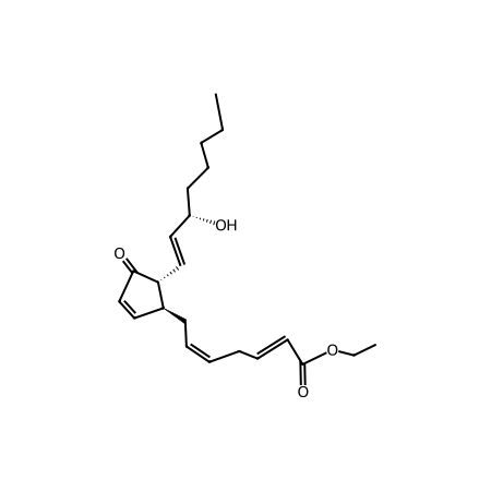 CCCCC[C@H](O)/C=C/[C@H]1C(=O)C=C[C@@H]1C/C=C\C/C=C/C(=O)OCC